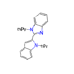 CCCn1c(-c2nc3ccccc3n2CCC)cc2ccccc21